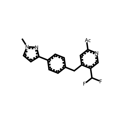 CC(=O)c1cc(Cc2ccc(-c3ccn(C)n3)cc2)c(C(F)F)cn1